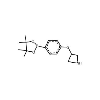 CC1(C)OB(c2ccc(SC3CNC3)cc2)OC1(C)C